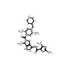 Cc1nc(C)c(C(=O)Nc2n[nH]c3c2CN(C(=O)N2C[C@@H](C)N(CC4CCOCC4)C[C@@H]2C)C3C)o1